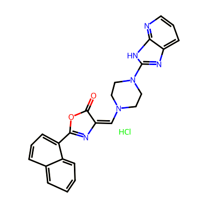 Cl.O=C1OC(c2cccc3ccccc23)=N/C1=C/N1CCN(c2nc3cccnc3[nH]2)CC1